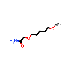 CCCOCCCCCOCC(N)=O